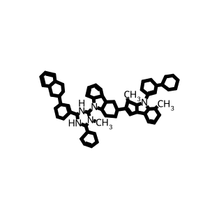 CC1CC=CC2C3C=C(C4CCC5C(C4)C4C=CC=CC4N5C4NC(C5=CC(C6CCC7C=CC=CC7C6)CCC5)NC(C5CC=CCC5)N4C)C(C)C3N(C3=CC(C4CCCCC4)CCC3)C12